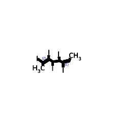 C/C=C(/I)C(I)C(I)/C(I)=C(\C)I